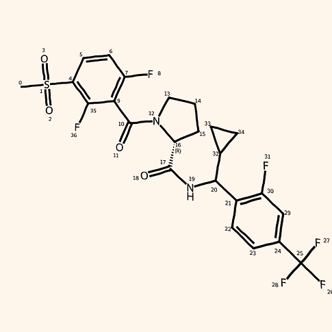 CS(=O)(=O)c1ccc(F)c(C(=O)N2CCC[C@@H]2C(=O)NC(c2ccc(C(F)(F)F)cc2F)C2CC2)c1F